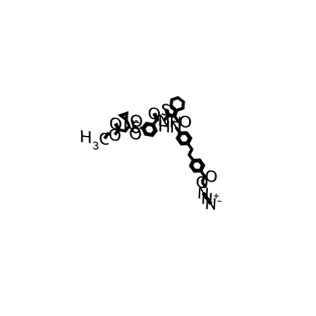 CCOC(=O)CN(C1CC1)S(=O)(=O)c1cccc(C(=O)Nc2sc3c(c2C(=O)Nc2ccc(CCc4ccc(C(=O)OCN=[N+]=[N-])cc4)cc2)CCCC3)c1